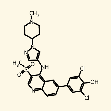 CN1CCC(n2cc(Nc3c(S(C)(=O)=O)cnc4ccc(-c5cc(Cl)c(O)c(Cl)c5)cc34)cn2)CC1